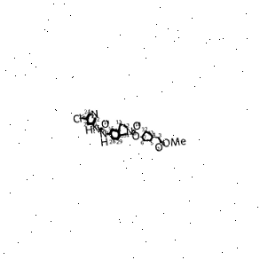 COC(=O)C[C@H]1CC[C@H](OC(=O)N2CCc3cc(NC(=O)Nc4cncc(Cl)c4)ccc3C2)CC1